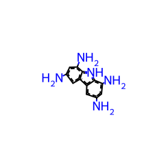 Nc1cc(N)c2[nH]c3c(N)cc(N)cc3c2c1